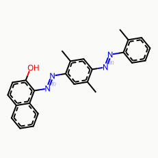 Cc1ccccc1/N=N/c1cc(C)c(/N=N/c2c(O)ccc3ccccc23)cc1C